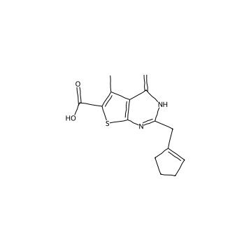 C=C1NC(CC2=CCCC2)=Nc2sc(C(=O)O)c(C)c21